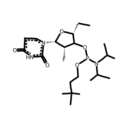 CC[C@H]1O[C@@H](n2ccc(=O)[nH]c2=O)[C@@H](F)C1OP(OCCC(C)(C)C)N(C(C)C)C(C)C